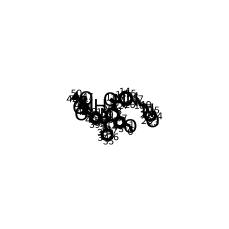 COc1ccc2c(c1)C=C(C(=O)N1CCCN(CCCN3CCOCC3)CC1)Cn1c-2c(C2CCCCC2)c2ccc(C(=O)NS(=O)(=O)C3CC3)cc21